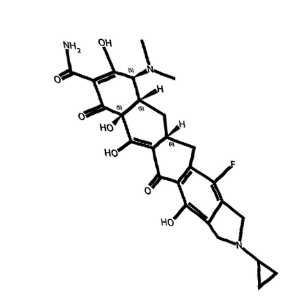 CN(C)[C@@H]1C(O)=C(C(N)=O)C(=O)[C@@]2(O)C(O)=C3C(=O)c4c(O)c5c(c(F)c4C[C@H]3C[C@@H]12)CN(C1CC1)C5